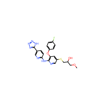 COCC(O)CSc1cnc(Nc2ccc(-c3nnn[nH]3)cn2)c(Oc2ccc(F)cc2)c1